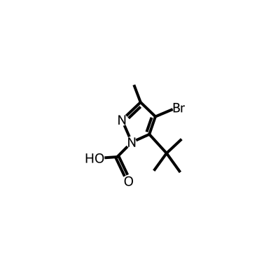 Cc1nn(C(=O)O)c(C(C)(C)C)c1Br